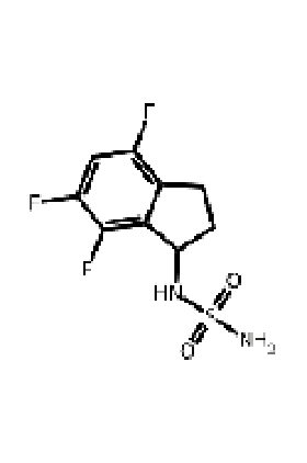 NS(=O)(=O)NC1CCc2c(F)cc(F)c(F)c21